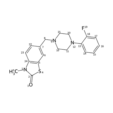 Cn1c(=O)sc2cc(CN3CCN(c4ccccc4F)CC3)ccc21